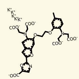 Cc1ccc(N(CC(=O)[O-])CC(=O)[O-])c(OCCOc2cc3oc(-c4ncc(C(=O)[O-])o4)cc3cc2N(CC(=O)[O-])CC(=O)[O-])c1.[K+].[K+].[K+].[K+].[K+]